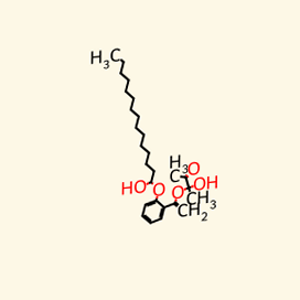 C=C(OC(C)(O)C(C)=O)c1ccccc1OC(O)CCCCCCCCCCCCCC